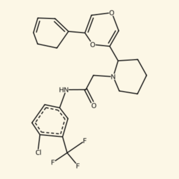 O=C(CN1CCCCC1C1=COC=C(C2=CC=CCC2)O1)Nc1ccc(Cl)c(C(F)(F)F)c1